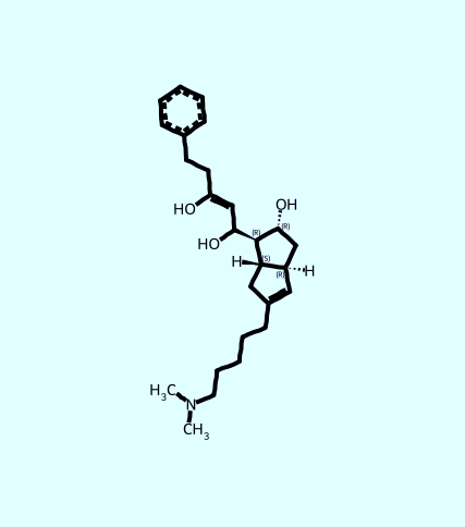 CN(C)CCCCCC1=C[C@@H]2C[C@@H](O)[C@H](C(O)C=C(O)CCc3ccccc3)[C@H]2C1